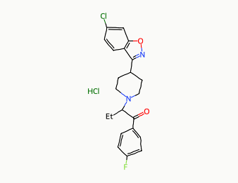 CCC(C(=O)c1ccc(F)cc1)N1CCC(c2noc3cc(Cl)ccc23)CC1.Cl